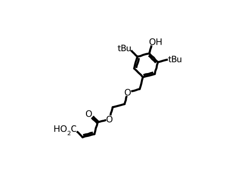 CC(C)(C)c1cc(COCCOC(=O)/C=C\C(=O)O)cc(C(C)(C)C)c1O